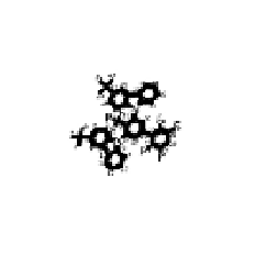 CC(C)(C)c1ccc2c(c1)c1ccccc1n2-c1cc(-c2c(F)c(F)cc(F)c2F)cc(-n2c3ccccc3c3cc(C(C)(C)C)ccc32)c1C(F)(F)F